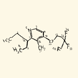 CCC(CC)c1nccc(OCC(F)(F)F)c1C